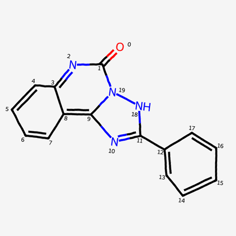 O=c1nc2ccccc2c2nc(-c3ccccc3)[nH]n12